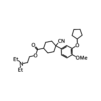 CCN(CC)CCOC(=O)C1CCC(C#N)(c2ccc(OC)c(OC3CCCC3)c2)CC1